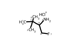 CC(C)(C)C(N)CF.Cl